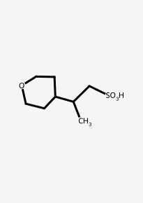 CC(CS(=O)(=O)O)C1CCOCC1